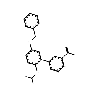 NC(=O)c1cccc(-c2cc(OCc3ccccc3)ccc2OC(F)F)c1